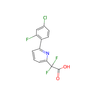 O=C(O)C(F)(F)c1cccc(-c2ccc(Cl)cc2F)n1